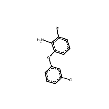 Nc1c(Br)cccc1Oc1cccc(Cl)c1